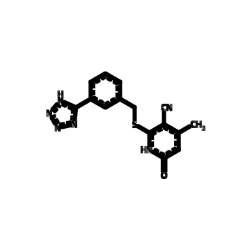 Cc1cc(=O)[nH]c(SCc2cccc(-c3nnn[nH]3)c2)c1C#N